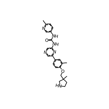 Cc1ccc(NC(=O)Nc2cncc(-c3ccc(OCC4(C)CCNC4)c(C)c3)n2)cn1